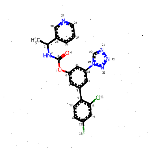 CC(NC(=O)Oc1cc(-c2ccc(F)cc2Cl)cc(-n2cnnn2)c1)c1cccnc1